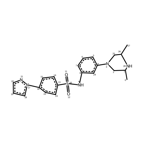 CC1CN(c2cccc(NS(=O)(=O)c3ccc(-n4cccn4)cc3)c2)CC(C)N1